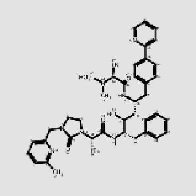 Cc1cccc(CN2CCN([C@H](C(=O)N[C@@H](Cc3ccccc3)[C@@H](O)C[C@@H](Cc3ccc(-c4ccccn4)cc3)NC(=O)[C@@H](N(C)C(=O)O)C(C)(C)C)C(C)(C)C)C2=O)n1